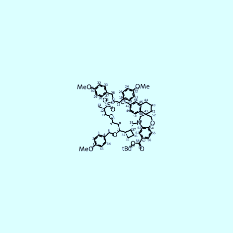 COc1ccc(CO[C@@H](CCOC[C@@H](C)S(=O)(=O)N(Cc2ccc(OC)cc2)Cc2ccc(OC)cc2)[C@@H]2CC[C@H]2CN2C[C@@]3(CCCc4cc(Cl)ccc43)COc3ccc(C(=O)OC(C)(C)C)cc32)cc1